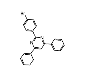 Brc1ccc(-c2nc(C3=CC=CCC3)cc(-c3ccccc3)n2)cc1